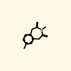 C=C1Cc2ccc(C)cc2CC(=C)N1C